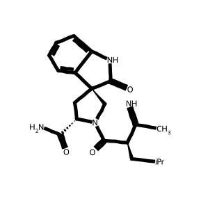 CC(=N)[C@@H](CC(C)C)C(=O)N1C[C@]2(C[C@H]1C(N)=O)C(=O)Nc1ccccc12